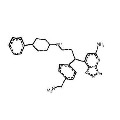 NCc1ccc(C(CCNC2CCC(c3ccccc3)CC2)c2cc(N)nc3[nH]nnc23)cc1